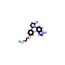 CCCOc1ccc([C@H]2CCC(=O)N2c2ccc3[nH]cnc3c2)cc1